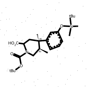 C[C@H]1CN(C(=O)OC(C)(C)C)C(C(=O)O)C[C@@]1(C)c1cccc(O[Si](C)(C)C(C)(C)C)c1